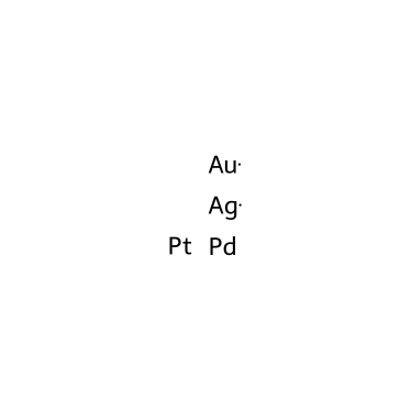 [Ag].[Au].[Pd].[Pt]